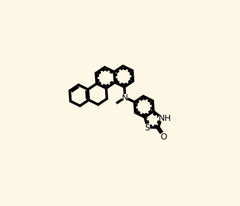 CN(c1ccc2[nH]c(=O)sc2c1)c1cccc2ccc3c(c12)CCC1=C3C=CCC1